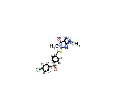 Cn1c(SCc2ccc(C(=O)c3ccc(Cl)cc3)cc2)nc2c(cnn2C)c1=O